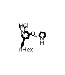 CCCCCCC#Cc1cncc(OC[C@@H]2CCCN2)c1.Cl.Cl